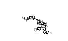 Bc1ccc2oc(CCNC(=O)C[C@@H]3N=C(c4ccc(Cl)cc4)c4cc(OC)ccc4-n4c(C)nnc43)cc2c1